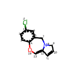 Clc1ccc2c(c1)CN1CC=CC1=CO2